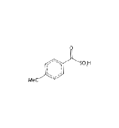 COc1ccc(C(=O)S(=O)(=O)O)cc1